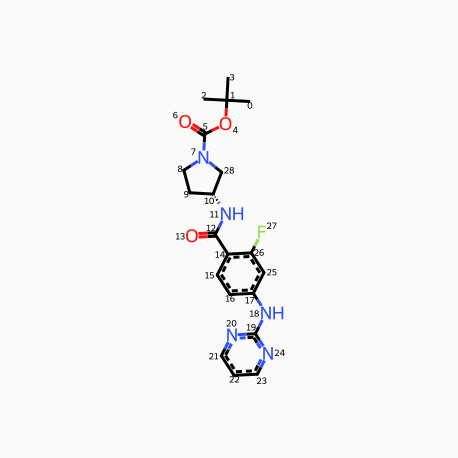 CC(C)(C)OC(=O)N1CC[C@@H](NC(=O)c2ccc(Nc3ncccn3)cc2F)C1